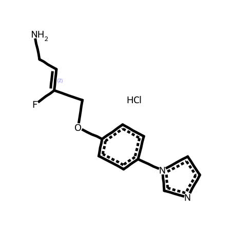 Cl.NC/C=C(\F)COc1ccc(-n2ccnc2)cc1